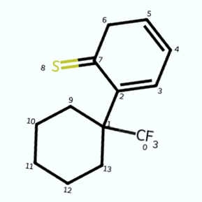 FC(F)(F)C1(C2=CC=CCC2=S)CCCCC1